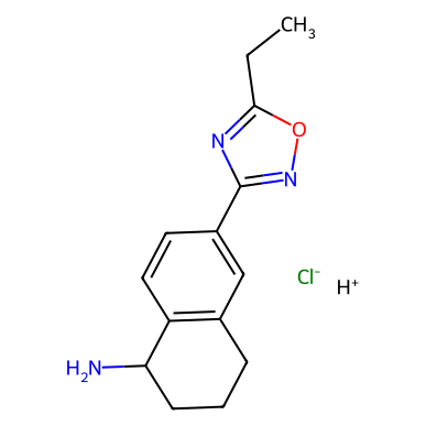 CCc1nc(-c2ccc3c(c2)CCCC3N)no1.[Cl-].[H+]